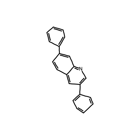 c1ccc(-c2cnc3cc(-c4ccccc4)ccc3c2)cc1